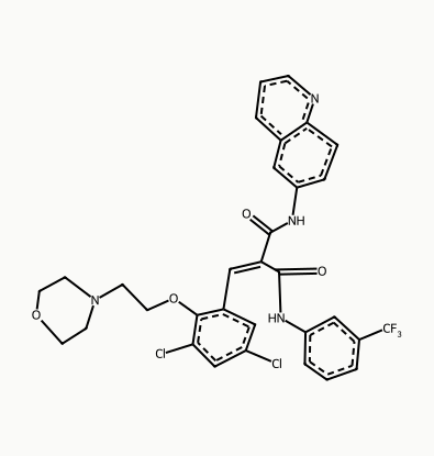 O=C(Nc1cccc(C(F)(F)F)c1)/C(=C\c1cc(Cl)cc(Cl)c1OCCN1CCOCC1)C(=O)Nc1ccc2ncccc2c1